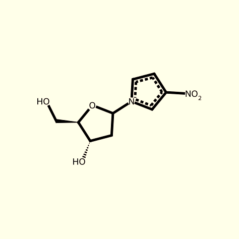 O=[N+]([O-])c1ccn(C2C[C@H](O)[C@@H](CO)O2)c1